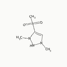 CN1C=C(S(C)(=O)=O)N(C)N1